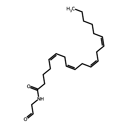 CCCCC/C=C\C/C=C\C/C=C\C/C=C\CCCC(=O)NCC=O